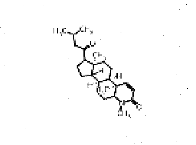 CC(C)CC(=O)C1CC[C@H]2[C@@H]3CCC4N(C)C(=O)C=C[C@]4(C)[C@@H]3CC[C@]12C